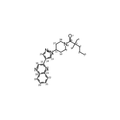 [CH2]CCC(C)(C)C(=O)N1CCC(n2cc(-c3cnc4ccccc4n3)cn2)CC1